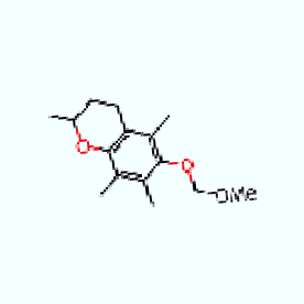 COCOc1c(C)c(C)c2c(c1C)CC[C](C)O2